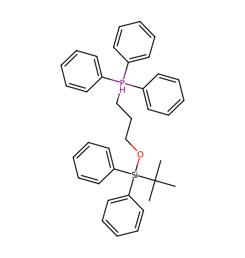 CC(C)(C)[Si](OCCC[PH](c1ccccc1)(c1ccccc1)c1ccccc1)(c1ccccc1)c1ccccc1